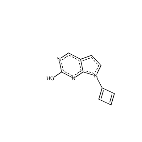 Oc1ncc2ccn(C3=CC=C3)c2n1